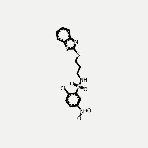 O=[N+]([O-])c1ccc(Cl)c(S(=O)(=O)NCCCSc2nc3ccccc3s2)c1